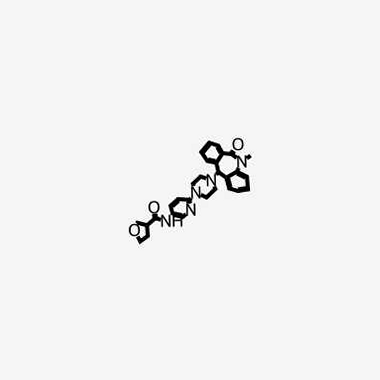 CN1C(=O)c2ccccc2C(N2CCN(c3ccc(NC(=O)C4CCOC4)cn3)CC2)c2ccccc21